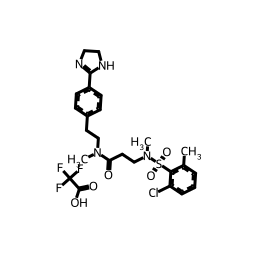 Cc1cccc(Cl)c1S(=O)(=O)N(C)CCC(=O)N(C)CCc1ccc(C2=NCCN2)cc1.O=C(O)C(F)(F)F